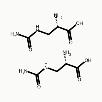 NC(=O)NC[C@H](N)C(=O)O.NC(=O)NC[C@H](N)C(=O)O